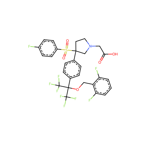 O=C(O)CN1CCC(c2ccc(C(OCc3c(F)cccc3F)(C(F)(F)F)C(F)(F)F)cc2)(S(=O)(=O)c2ccc(F)cc2)C1